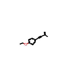 C=C(C)C#Cc1ccc(OCC)cc1